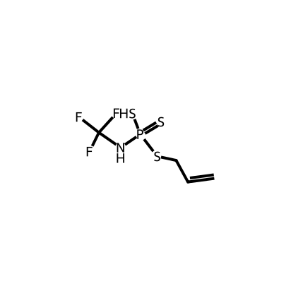 C=CCSP(=S)(S)NC(F)(F)F